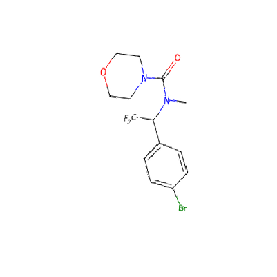 CN(C(=O)N1CCOCC1)C(c1ccc(Br)cc1)C(F)(F)F